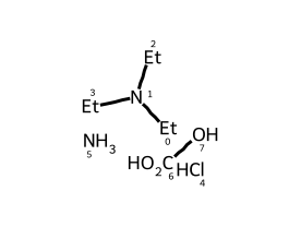 CCN(CC)CC.Cl.N.O=C(O)O